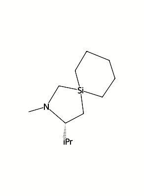 CC(C)[C@H]1C[Si]2(CCCCC2)CN1C